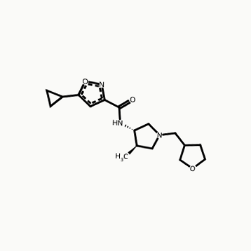 C[C@@H]1CN(CC2CCOC2)C[C@H]1NC(=O)c1cc(C2CC2)on1